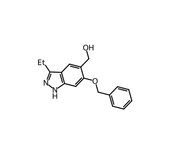 CCc1n[nH]c2cc(OCc3ccccc3)c(CO)cc12